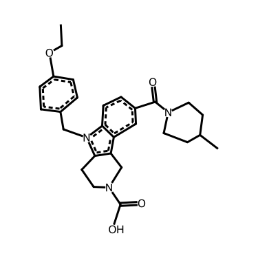 CCOc1ccc(Cn2c3c(c4cc(C(=O)N5CCC(C)CC5)ccc42)CN(C(=O)O)CC3)cc1